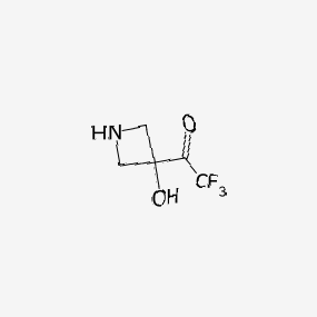 O=C(C(F)(F)F)C1(O)CNC1